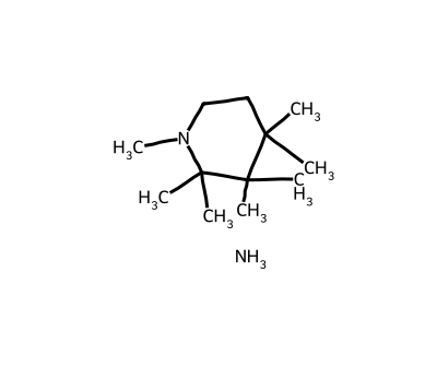 CN1CCC(C)(C)C(C)(C)C1(C)C.N